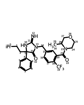 CC(C)CCC1(c2ccccc2)NC(=N)N(Cc2ccc(C(F)(F)F)c(C(=O)N3CCOCC3C)c2)C1=O